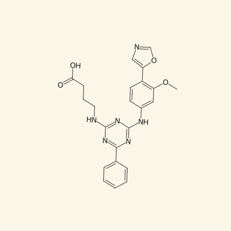 COc1cc(Nc2nc(NCCCC(=O)O)nc(-c3ccccc3)n2)ccc1-c1cnco1